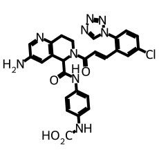 Nc1cnc2c(c1)C(C(=O)Nc1ccc(NC(=O)O)cc1)N(C(=O)C=Cc1cc(Cl)ccc1-n1cnnn1)CC2